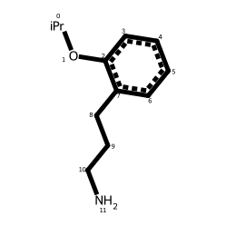 CC(C)Oc1ccccc1CCCN